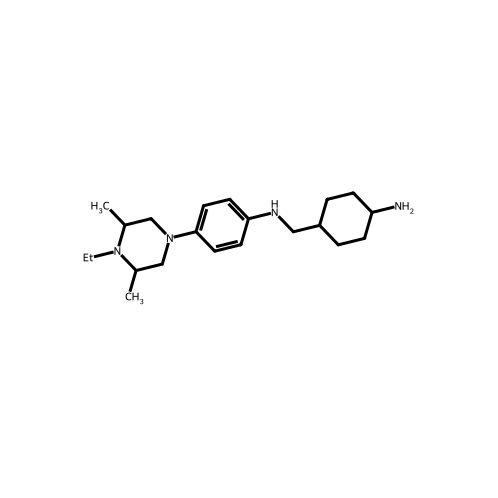 CCN1C(C)CN(c2ccc(NCC3CCC(N)CC3)cc2)CC1C